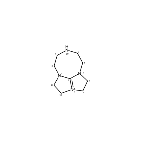 C1CN2CC[N+]3=C2N(CCN1)CC3